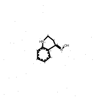 O/N=C1\CCNc2ccccc21